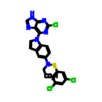 O=C(O)CN(Sc1cc(Cl)cc(Cl)c1)c1ccc2c(ccn2-c2nc(Cl)nc3[nH]cnc23)c1